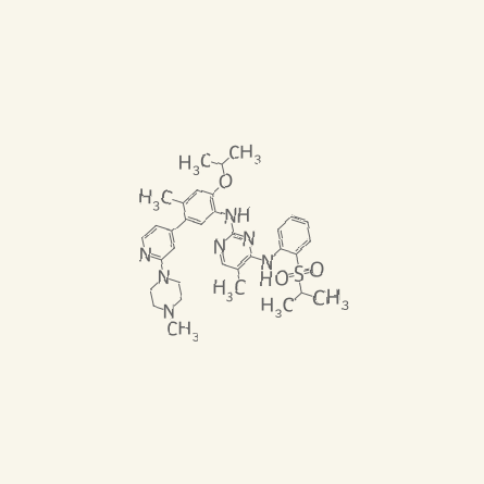 Cc1cc(OC(C)C)c(Nc2ncc(C)c(Nc3ccccc3S(=O)(=O)C(C)C)n2)cc1-c1ccnc(N2CCN(C)CC2)c1